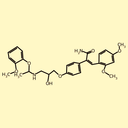 COc1ccc(C=C(C(N)=O)c2ccc(OCC(O)CNC(C)Oc3ccccc3OC)cc2)c(OC)c1